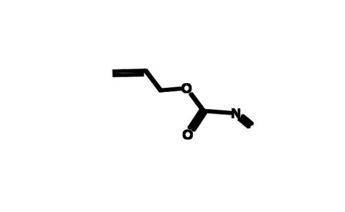 C=CCOC(=O)N=C